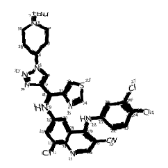 CC(C)(C)N1CCC(n2cc(C(Nc3cc(Cl)c4ncc(C#N)c(Nc5ccc(Cl)c(Cl)c5)c4c3)c3cscn3)nn2)CC1